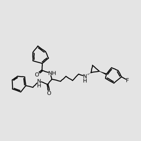 O=C(NC(CCCCN[C@@H]1C[C@H]1c1ccc(F)cc1)C(=O)NCc1ccccc1)c1ccccc1